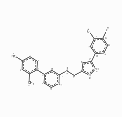 Cc1cc(C#N)ccc1-c1ccnc(NCc2cc(-c3ccc(F)c(Br)c3)[nH]n2)c1